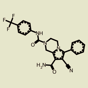 N#Cc1c(C(N)=O)c2n(c1-c1ccccc1)CCN(C(=O)Nc1ccc(C(F)(F)F)cc1)C2